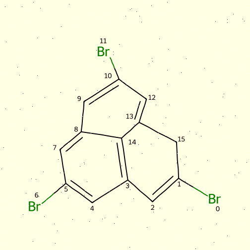 BrC1=Cc2cc(Br)cc3cc(Br)cc(c23)C1